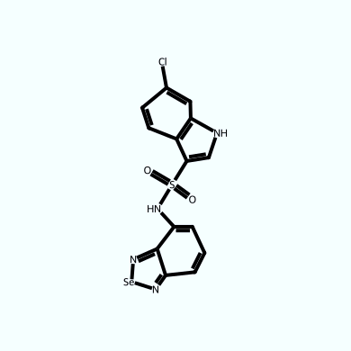 O=S(=O)(Nc1cccc2n[se]nc12)c1c[nH]c2cc(Cl)ccc12